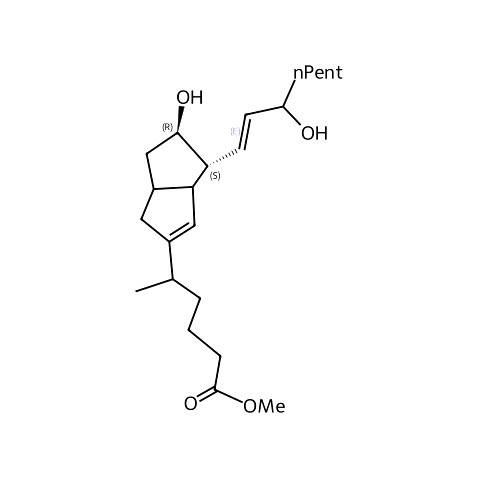 CCCCCC(O)/C=C/[C@@H]1C2C=C(C(C)CCCC(=O)OC)CC2C[C@H]1O